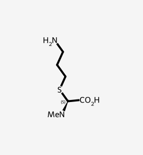 CN[C@@H](SCCCN)C(=O)O